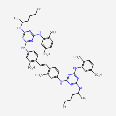 CC(C)CCCC(C)Nc1nc(Nc2ccc(/C=C/c3ccc(Nc4nc(Nc5cc(S(=O)(=O)O)ccc5S(=O)(=O)O)nc(NC(C)CCCC(C)C)n4)cc3S(=O)(=O)O)c(S(=O)(=O)O)c2)nc(Nc2cc(S(=O)(=O)O)ccc2S(=O)(=O)O)n1